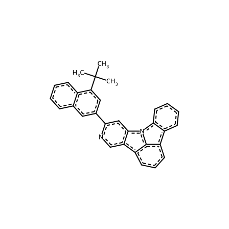 CC(C)(C)c1cc(-c2cc3c(cn2)c2cccc4c5ccccc5n3c42)cc2ccccc12